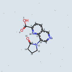 O=C(O)c1ccc2cncc(N3CCCC3=O)c2n1